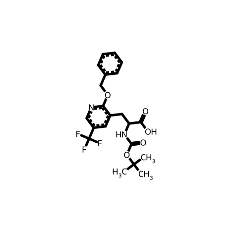 CC(C)(C)OC(=O)NC(Cc1cc(C(F)(F)F)cnc1OCc1ccccc1)C(=O)O